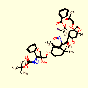 CC(=O)CO[C@@]12CO[C@@H]1C[C@H](O)[C@@](C)(C(=O)[C@H](N=O)C1=C(C)[C@@H](OC[C@@](O)(C=O)C(NC(=O)OC(C)(C)C)c3ccccc3)CCC1(C)C)[C@@H]2[C@@H](CI)OC(=O)c1ccccc1